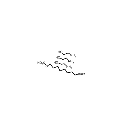 CCCCCCCCCCCCCCCCCCOS(=O)(=O)O.NCCO.NCCO.NCCO